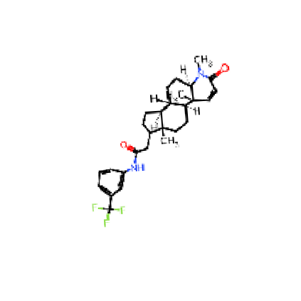 CN1C(=O)C=C[C@]2(C)[C@H]3CC[C@]4(C)[C@@H](CC(=O)Nc5cccc(C(F)(F)F)c5)CC[C@H]4[C@@H]3CC[C@@H]12